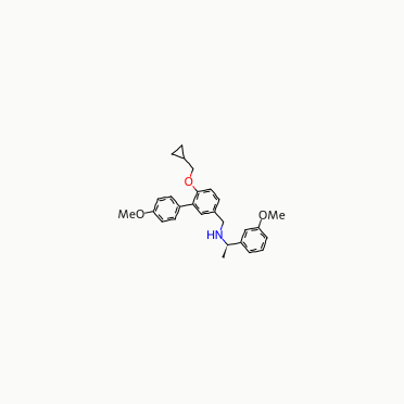 COc1ccc(-c2cc(CN[C@H](C)c3cccc(OC)c3)ccc2OCC2CC2)cc1